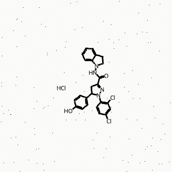 Cl.O=C(NN1CCc2ccccc21)C1=NN(c2ccc(Cl)cc2Cl)C(c2ccc(O)cc2)C1